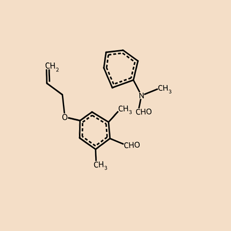 C=CCOc1cc(C)c(C=O)c(C)c1.CN(C=O)c1ccccc1